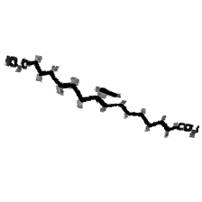 C=C.O=C(O)CCCCCCCCCCCCCCC(=O)O